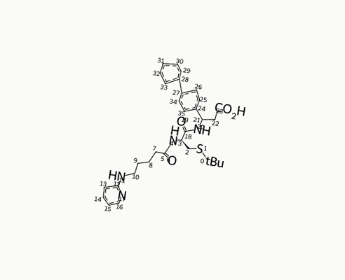 CC(C)(C)SC[C@@H](NC(=O)CCCCNc1ccccn1)C(=O)NC(CC(=O)O)c1ccc(-c2ccccc2)cc1